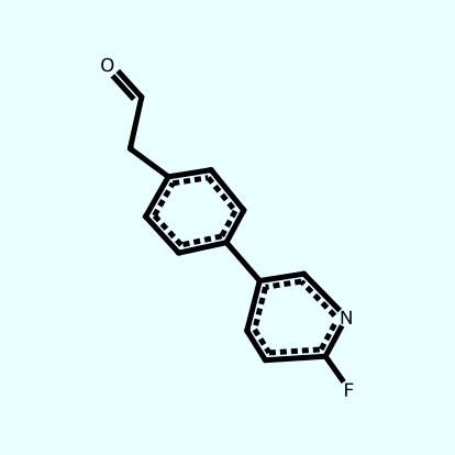 O=CCc1ccc(-c2ccc(F)nc2)cc1